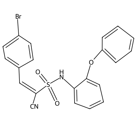 N#C/C(=C/c1ccc(Br)cc1)S(=O)(=O)Nc1ccccc1Oc1ccccc1